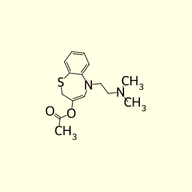 CC(=O)OC1=CN(CCN(C)C)c2ccccc2SC1